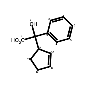 O=C(O)C(O)(c1ccccc1)C1C=CCC1